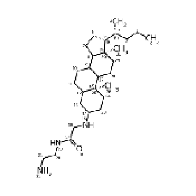 CCC[C@@H](C)[C@H]1CCC2C3CCC4CC(NCC(=O)NCCN)CC[C@]4(C)C3CC[C@@]21C